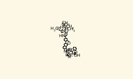 COCC1C[C@@H](c2ncc(-c3ccc4c(c3)COc3cc5c(ccc6nc(N7C8C[C@@H]8C[C@H]7C(=O)[C@@H](c7ccccc7)N(C)C(=O)O)[nH]c65)cc3-4)[nH]2)N(C(=O)C(NC(=O)OC)C(C)C)C1